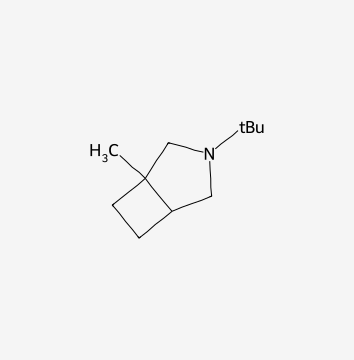 CC12CCC1CN(C(C)(C)C)C2